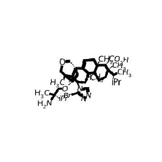 CC(C)[C@@H](C)[C@@]1(C)CC[C@]2(C)[C@H]3CC[C@@H]4[C@@]5(COC[C@@]4(C)[C@@H](OC[C@](C)(N)C(C)C)[C@H](n4cnnc4Br)C5)C3=CC[C@@]2(C)[C@@H]1C(=O)O